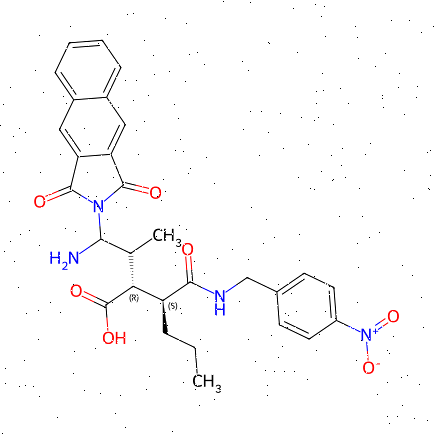 CCC[C@H](C(=O)NCc1ccc([N+](=O)[O-])cc1)[C@H](C(=O)O)C(C)C(N)N1C(=O)c2cc3ccccc3cc2C1=O